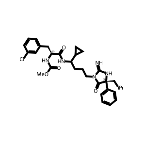 COC(=O)N[C@@H](Cc1cccc(Cl)c1)C(=O)NC(CCCN1C(=N)N[C@](CC(C)C)(c2ccccc2)C1=O)C1CC1